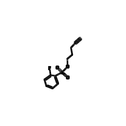 C#CCCCOS(=O)(=O)c1ccccc1F